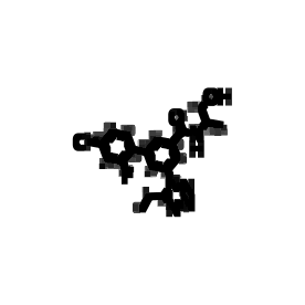 CCc1nnnn1-c1cc(C(=O)NC(C)CO)cc(-c2ccc(Cl)cc2F)c1